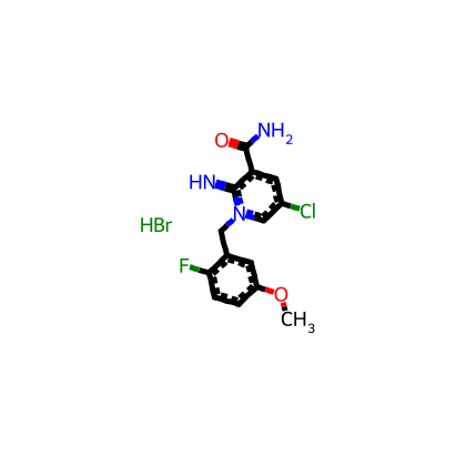 Br.COc1ccc(F)c(Cn2cc(Cl)cc(C(N)=O)c2=N)c1